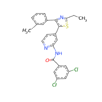 CCc1nc(-c2cccc(C)c2)c(-c2ccnc(NC(=O)c3cc(Cl)cc(Cl)c3)c2)s1